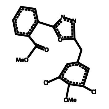 COC(=O)c1ccccc1-c1nnc(Cc2cc(Cl)c(OC)c(Cl)c2)o1